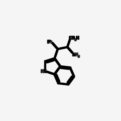 CC(C)C(c1c[nH]c2ccccc12)C(N)C(=O)O